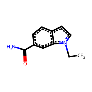 NC(=O)c1ccc2ccn(CC(F)(F)F)c2c1